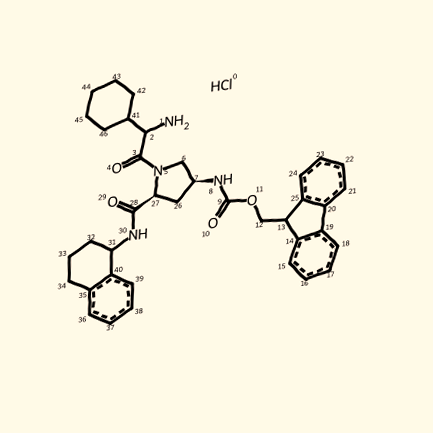 Cl.NC(C(=O)N1C[C@@H](NC(=O)OCC2c3ccccc3-c3ccccc32)C[C@H]1C(=O)NC1CCCc2ccccc21)C1CCCCC1